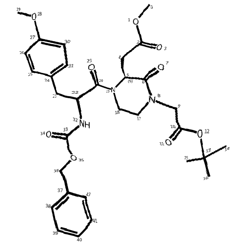 COC(=O)C[C@H]1C(=O)N(CC(=O)OC(C)(C)C)CCN1C(=O)C(Cc1ccc(OC)cc1)NC(=O)OCc1ccccc1